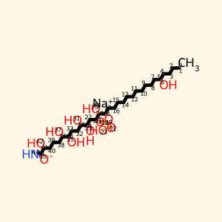 CCCCCC(O)CCCCCCCCCCCC(OS(=O)(=O)O)C(O)CCC(O)C(O)CCC(O)C(O)CCCC(O)C(=N)[O-].[Na+]